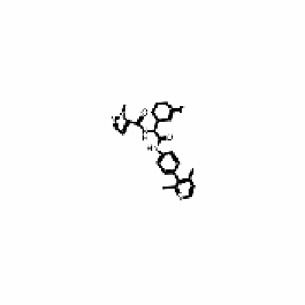 Cc1ccnc(C)c1-c1ccc(NC(=O)C(NC(=O)c2ccnn2C)C2C=C(F)CCC2)cc1